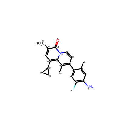 Cc1cc(N)c(F)cc1-c1ccn2c(=O)c(C(=O)O)cc(C3CC3)c2c1C